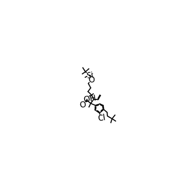 C=CC(C(C)(C)CCCO[Si](C)(C)C(C)(C)C)C(C)(C(=O)O)c1ccc(CCC(C)(C)C)c(Cl)c1